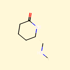 CCNC[C@@H]1CCCC(=O)N1